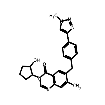 Cc1cc2ncn(C3CCCC3O)c(=O)c2cc1Cc1ccc(-c2cn(C)nn2)cc1